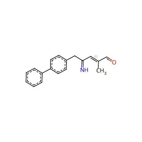 C/C(C=O)=C\C(=N)Cc1ccc(-c2ccccc2)cc1